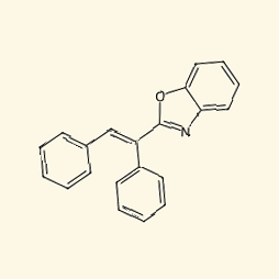 C(=C(c1ccccc1)c1nc2ccccc2o1)c1ccccc1